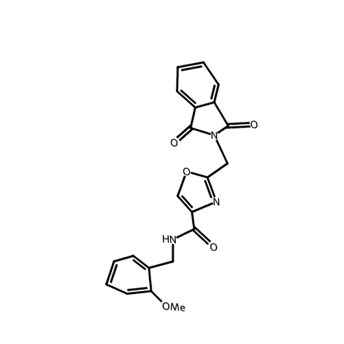 COc1ccccc1CNC(=O)c1coc(CN2C(=O)c3ccccc3C2=O)n1